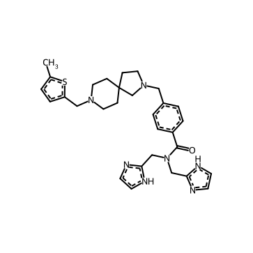 Cc1ccc(CN2CCC3(CC2)CCN(Cc2ccc(C(=O)N(Cc4ncc[nH]4)Cc4ncc[nH]4)cc2)C3)s1